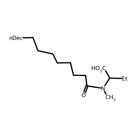 CCCCCCCCCCCCCCCCCC(=O)N(C)C(CC)C(=O)O